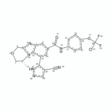 C[C@@H]1COCc2nc3cc(C(=O)Nc4ccc(OC(F)(F)Cl)cc4)cc(-c4[nH]ncc4C#N)c3n21